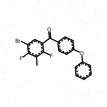 Cc1c(F)c(Br)cc(C(=O)c2ccc(Oc3ccccc3)cc2)c1F